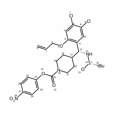 C=CCOc1cc(Cl)c(Cl)cc1[C@H](N[S@@+]([O-])C(C)(C)C)C1CCN(C(=O)Oc2ccc([N+](=O)[O-])cc2)CC1